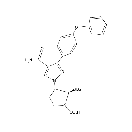 CC(C)(C)[C@@H]1C(n2cc(C(N)=O)c(-c3ccc(Oc4ccccc4)cc3)n2)CCN1C(=O)O